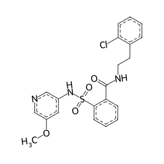 COc1cncc(NS(=O)(=O)c2ccccc2C(=O)NCCc2ccccc2Cl)c1